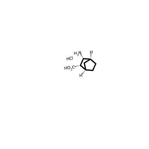 Cl.N[C@@H]1[C@H]2CC[C@H](C2)[C@@H]1C(=O)O